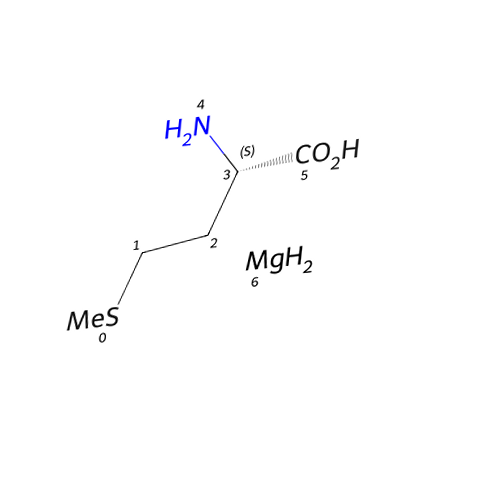 CSCC[C@H](N)C(=O)O.[MgH2]